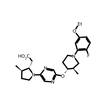 CCOc1ccc(F)c(N2CC[C@@H](Oc3cnc(N4CC[C@@H](C)[C@@H]4CC(=O)O)cn3)[C@H](C)C2)c1